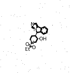 CCS(=O)(=O)N1CC[C@@H](C2c3ccccc3-c3cncn32)[C@H](O)C1